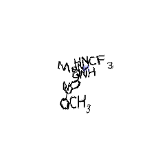 CN/C(=C\C(=N)C(F)(F)F)NC(=O)c1ccc2cc(-c3ccccc3C)cnc2c1